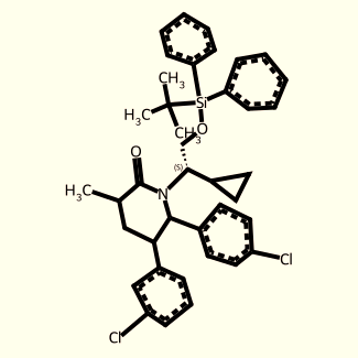 CC1CC(c2cccc(Cl)c2)C(c2ccc(Cl)cc2)N([C@H](CO[Si](c2ccccc2)(c2ccccc2)C(C)(C)C)C2CC2)C1=O